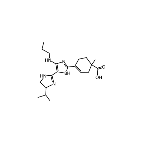 CCCNC1=C(C2=NC(C(C)C)CN2)BC(C2=CCC(C)(C(=O)O)CC2)=N1